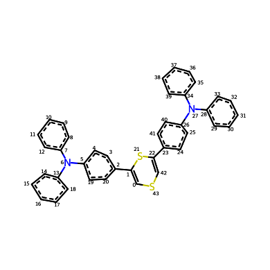 C1=C(c2ccc(N(c3ccccc3)c3ccccc3)cc2)SC(c2ccc(N(c3ccccc3)c3ccccc3)cc2)=CS1